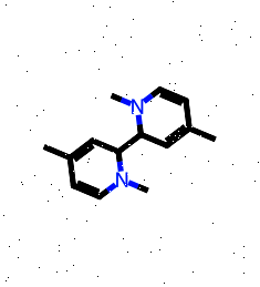 CC1=CC(C2C=C(C)C=CN2C)N(C)C=C1